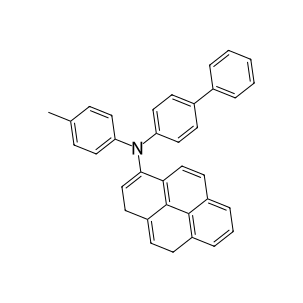 Cc1ccc(N(C2=CCC3=CCc4cccc5ccc2c3c45)c2ccc(-c3ccccc3)cc2)cc1